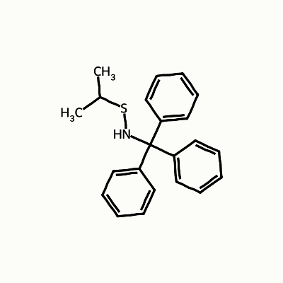 CC(C)SNC(c1ccccc1)(c1ccccc1)c1ccccc1